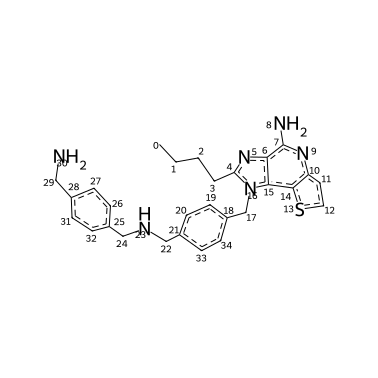 CCCCc1nc2c(N)nc3ccsc3c2n1Cc1ccc(CNCc2ccc(CN)cc2)cc1